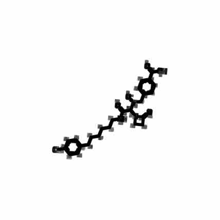 O=C(O)c1ccc(C[S+]([O-])C(C(=O)NCCCCCCc2ccc(Cl)cc2)N2CCC2=O)cc1